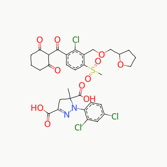 CC1(C(=O)O)CC(C(=O)O)=NN1c1ccc(Cl)cc1Cl.CS(=O)(=O)c1ccc(C(=O)C2C(=O)CCCC2=O)c(Cl)c1COCC1CCCO1